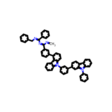 C=N/C(=N\C(=N/Cc1ccccc1)c1ccccc1)c1cccc(-c2cccc3c2c2ccccc2n3-c2cccc(-c3ccc4c5ccccc5n(-c5ccccc5)c4c3)c2)c1